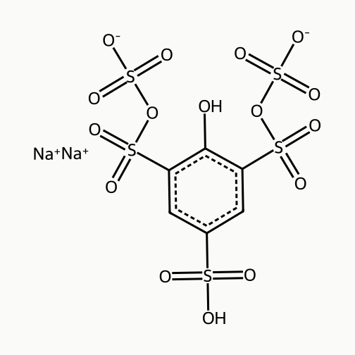 O=S(=O)([O-])OS(=O)(=O)c1cc(S(=O)(=O)O)cc(S(=O)(=O)OS(=O)(=O)[O-])c1O.[Na+].[Na+]